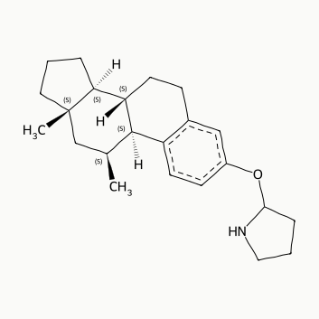 C[C@H]1C[C@]2(C)CCC[C@H]2[C@@H]2CCc3cc(OC4CCCN4)ccc3[C@H]21